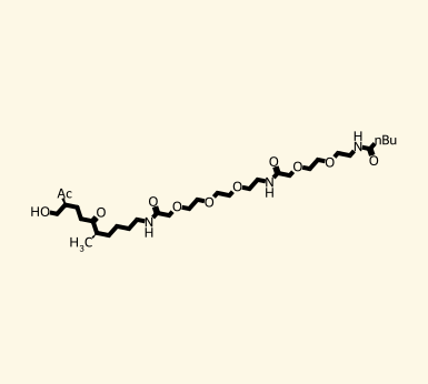 CCCCC(=O)NCCOCCOCC(=O)NCCOCCOCCOCC(=O)NCCCC[C@H](C)C(=O)CC[C@@H](CO)C(C)=O